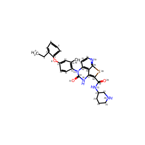 CCc1ccccc1Oc1ccc(N2C(=O)Nc3c(C(=O)NC4CCCNC4)sc4nccc2c34)c(C)c1